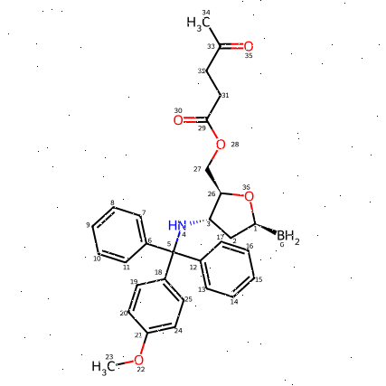 B[C@H]1C[C@H](NC(c2ccccc2)(c2ccccc2)c2ccc(OC)cc2)[C@@H](COC(=O)CCC(C)=O)O1